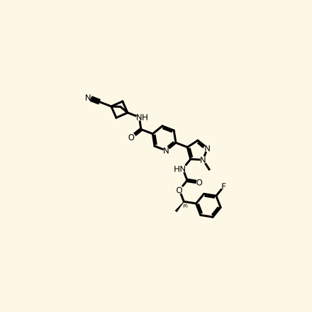 C[C@@H](OC(=O)Nc1c(-c2ccc(C(=O)NC34CC(C#N)(C3)C4)cn2)cnn1C)c1cccc(F)c1